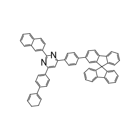 C1=CC(c2ccc(-c3cc(-c4ccc(-c5ccc6c(c5)C5(c7ccccc7-c7ccccc75)c5ccccc5-6)cc4)nc(-c4ccc5ccccc5c4)n3)cc2)=CCC1